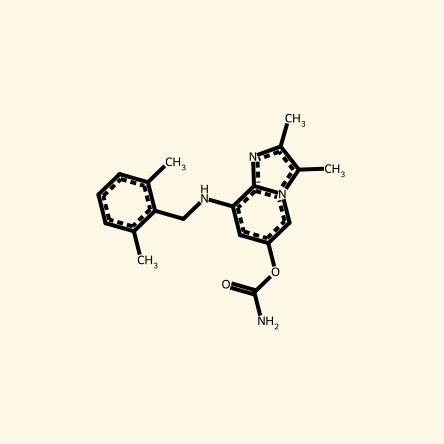 Cc1cccc(C)c1CNc1cc(OC(N)=O)cn2c(C)c(C)nc12